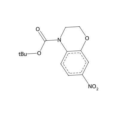 CC(C)(C)OC(=O)N1CCOc2cc([N+](=O)[O-])ccc21